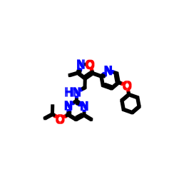 Cc1cc(OC(C)C)nc(NCc2c(C)noc2-c2ccc(OC3CCCCC3)cn2)n1